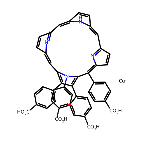 O=C(O)c1ccc(-c2c(-c3ccc(C(=O)O)cc3)c3c(-c4ccc(C(=O)O)cc4)c4nc(cc5ccc(cc6nc(cc2n3-c2ccc(C(=O)O)cc2)C=C6)[nH]5)C=C4)cc1.[Cu]